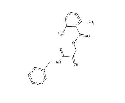 C=C(COC(=O)c1c(C)cccc1C)C(=O)NCc1ccccc1